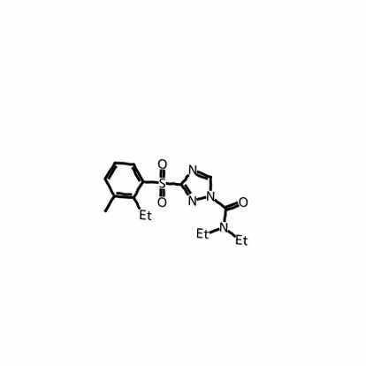 CCc1c(C)cccc1S(=O)(=O)c1ncn(C(=O)N(CC)CC)n1